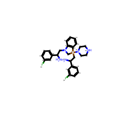 NC(CN1CS(CC(N)c2cccc(F)c2)(N2CCNCC2)c2ccc[c]c21)c1cccc(F)c1